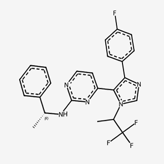 CC(n1cnc(-c2ccc(F)cc2)c1-c1ccnc(N[C@H](C)c2ccccc2)n1)C(F)(F)F